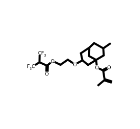 C=C(C)C(=O)OC12CC(C)CC(CC(OCCOC(=O)C(C(F)(F)F)C(F)(F)F)C1)C2